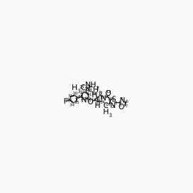 Cc1nc(-c2ncco2)sc1C(=O)N1C[C@@H]2[C@H](C1)[C@@H]2Oc1cc(C(C)(C)N)cc(-c2ccc(F)cc2)n1